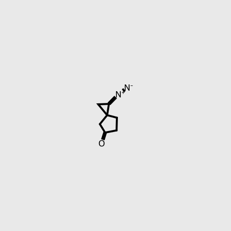 [N-]=[N+]=C1CC12CCC(=O)C2